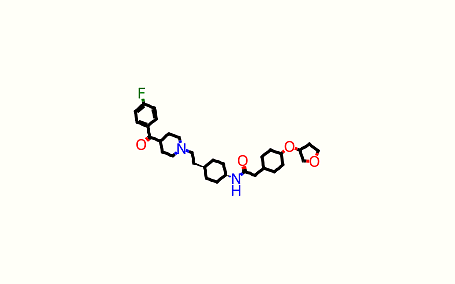 O=C(CC1CCC(OC2CCOC2)CC1)N[C@H]1CC[C@H](CCN2CCC(C(=O)c3ccc(F)cc3)CC2)CC1